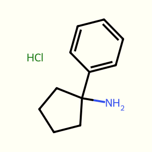 Cl.NC1(c2ccccc2)CCCC1